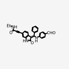 CCNC(=O)C#Cc1ccc2c(c1)NC(=O)/C2=C(\Nc1ccc(C=O)cc1)c1ccccc1